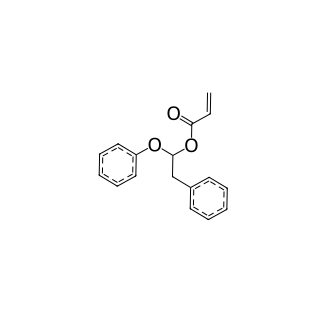 C=CC(=O)OC(Cc1ccccc1)Oc1ccccc1